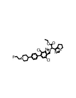 CCOC(=O)C(c1ncn2c1CCC2)n1cc2c(Cl)cc(-c3ccc(C4CCN(CCF)CC4)cc3)c(Cl)c2n1